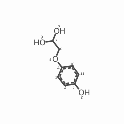 Oc1ccc(OCC(O)O)cc1